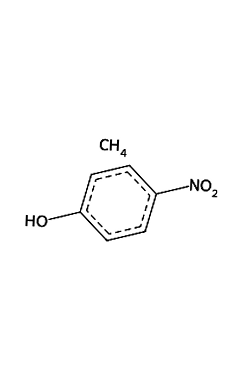 C.O=[N+]([O-])c1ccc(O)cc1